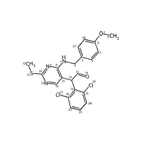 COc1ccc(CNc2nc(SC)ncc2C(C=O)c2c(Cl)cccc2Cl)cc1